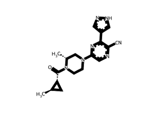 C[C@@H]1C[C@H]1C(=O)N1CCN(c2cnc(C#N)c(-c3cn[nH]c3)n2)C[C@H]1C